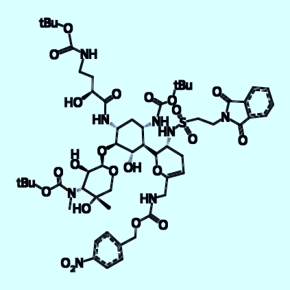 CN(C(=O)OC(C)(C)C)[C@@H]1[C@@H](O)[C@@H](O[C@@H]2[C@@H](O)[C@H](C3OC(CNC(=O)OCc4ccc([N+](=O)[O-])cc4)=CC[C@H]3NS(=O)(=O)CCN3C(=O)c4ccccc4C3=O)[C@@H](NC(=O)OC(C)(C)C)C[C@H]2NC(=O)[C@@H](O)CCNC(=O)OC(C)(C)C)OC[C@]1(C)O